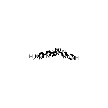 CC(C)[C@](C)(c1ccc(-c2ccc(N)nc2)nc1)c1noc(-c2cnc(N3CCNCC3)cn2)n1